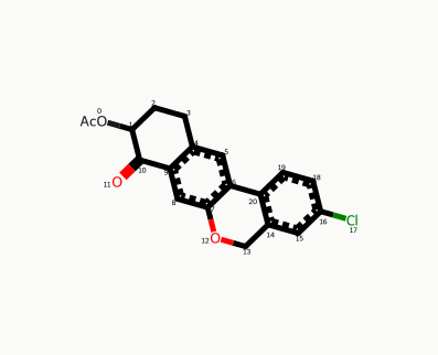 CC(=O)OC1CCc2cc3c(cc2C1=O)OCc1cc(Cl)ccc1-3